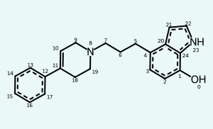 Oc1ccc(CCCN2CC=C(c3ccccc3)CC2)c2cc[nH]c12